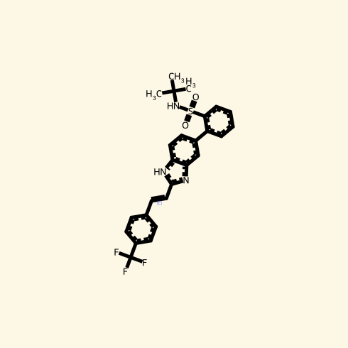 CC(C)(C)NS(=O)(=O)c1ccccc1-c1ccc2[nH]c(/C=C/c3ccc(C(F)(F)F)cc3)nc2c1